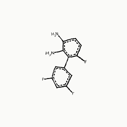 Nc1ccc(F)c(-c2cc(F)cc(F)c2)c1N